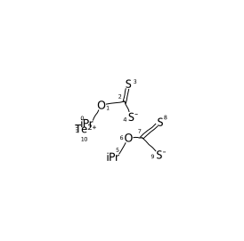 CC(C)OC(=S)[S-].CC(C)OC(=S)[S-].[Te+2]